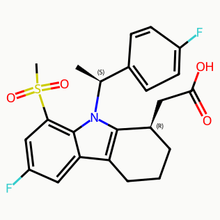 C[C@@H](c1ccc(F)cc1)n1c2c(c3cc(F)cc(S(C)(=O)=O)c31)CCC[C@@H]2CC(=O)O